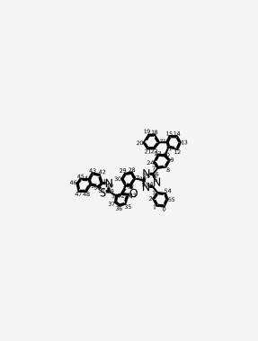 c1ccc(-c2nc(-c3ccc(-c4ccccc4-c4ccccc4)cc3)nc(-c3cccc4c3oc3cccc(-c5nc6ccc7ccccc7c6s5)c34)n2)cc1